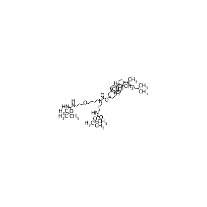 CC(C)CCC[C@@H](C)[C@H]1CC[C@H]2[C@@H]3CC=C4C[C@@H](OC(=O)N(CCCCOCCCNC(=N)OC(C)(C)C)CCCNC(=O)OC(C)(C)C)CC[C@]4(C)[C@H]3CC[C@]12C